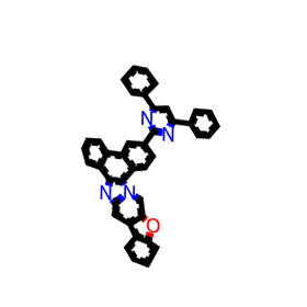 c1ccc(-c2cc(-c3ccccc3)nc(-c3ccc4c(c3)c3ccccc3c3nc5cc6c(cn5c43)oc3ccccc36)n2)cc1